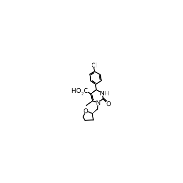 CC1=C(C(=O)O)C(c2ccc(Cl)cc2)NC(=O)N1C[C@H]1CCCO1